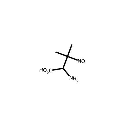 CC(C)(N=O)C(N)C(=O)O